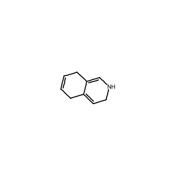 C1=CCC2=CNCC=C2C1